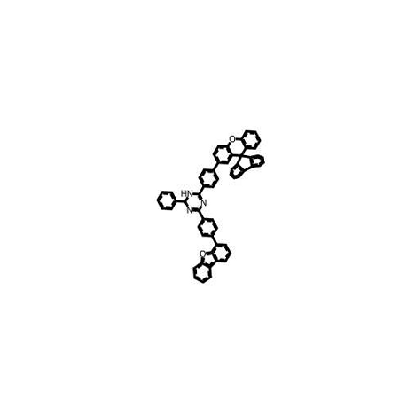 c1ccc(C2N=C(c3ccc(-c4cccc5c4oc4ccccc45)cc3)N=C(c3ccc(-c4ccc5c(c4)C4(c6ccccc6O5)c5ccccc5-c5ccccc54)cc3)N2)cc1